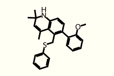 COc1ccccc1-c1ccc2c(c1CSc1ccccc1)C(C)=CC(C)(C)N2